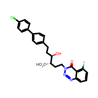 O=C(O)[C@@H](CCn1nnc2cccc(F)c2c1=O)[C@H](O)CCc1ccc(-c2ccc(Cl)cc2)cc1